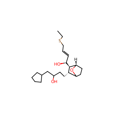 CCSCC=C[C@H](O)[C@H]1[C@@H]2CCC(O2)[C@@H]1CCC(O)CC1CCCC1